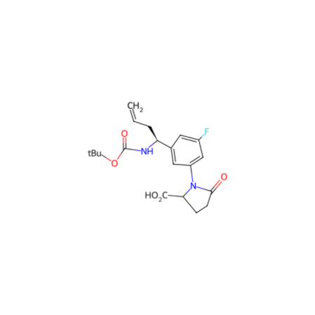 C=CC[C@H](NC(=O)OC(C)(C)C)c1cc(F)cc(N2C(=O)CCC2C(=O)O)c1